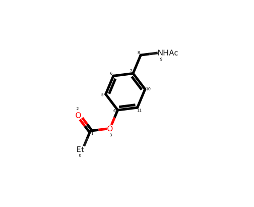 CCC(=O)Oc1ccc(CNC(C)=O)cc1